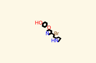 Oc1ccc(Oc2cncc(C(Br)=CC3CCCN3)c2)cc1